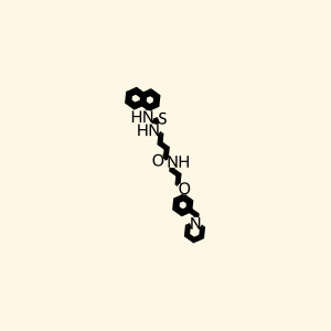 O=C(CCCNC(=S)Nc1cccc2ccccc12)NCCCOc1cccc(CN2CCCCC2)c1